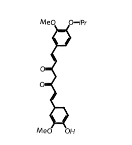 COC1=CC(/C=C/C(=O)CC(=O)/C=C/c2ccc(OC(C)C)c(OC)c2)CC=C1O